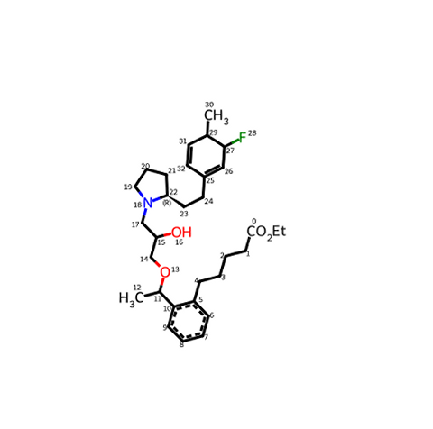 CCOC(=O)CCCCc1ccccc1C(C)OCC(O)CN1CCC[C@H]1CCC1=CC(F)C(C)C=C1